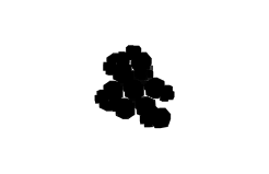 CC(C)(C)c1ccc(N2c3cc(N(c4ccccc4)c4ccc5c(c4)C(C)(C)c4ccccc4-5)cc4c3B(c3cc5c(cc3N4c3ccc4c(c3)C(C)(C)CCC4(C)C)C(C)(C)CCC5(C)C)c3c2sc2ccc(C(C)(C)C)cc32)cc1